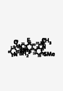 BC1(B)c2ncccc2C(=O)N1Cc1c(F)cc(-c2ccc(SC)c3nn(C)cc23)cc1F